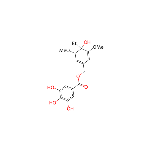 CCC1(O)C(OC)=CC(COC(=O)c2cc(O)c(O)c(O)c2)=CC1OC